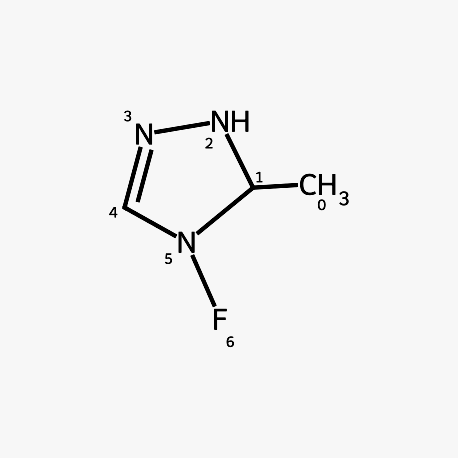 CC1NN=CN1F